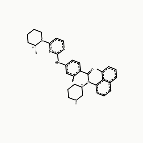 Cc1cccc2ccnc(N(C(=O)c3ccc(Nc4nccc(N5CCCC[C@H]5C)n4)cc3F)[C@@H]3CCCNC3)c12